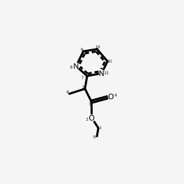 CCOC(=O)C(C)c1ncccn1